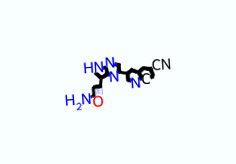 N#Cc1ccc2ncc(-c3cnc4[nH]cc(/C=C/C(N)=O)c4n3)cc2c1